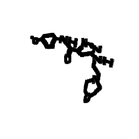 COc1ccc(NC(=O)c2cc(NCCN3CCOCC3)ncn2)cc1